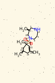 C=C1CNCCCN(S(=O)(=O)C2(C)C=C(C)CC(=C)C2)C1